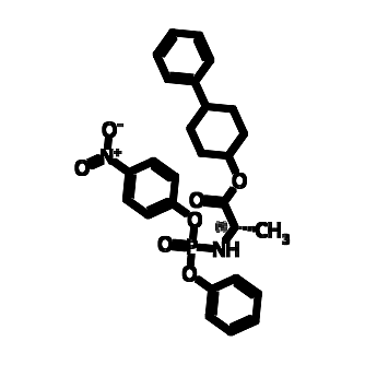 C[C@H](NP(=O)(Oc1ccccc1)Oc1ccc([N+](=O)[O-])cc1)C(=O)OC1CCC(c2ccccc2)CC1